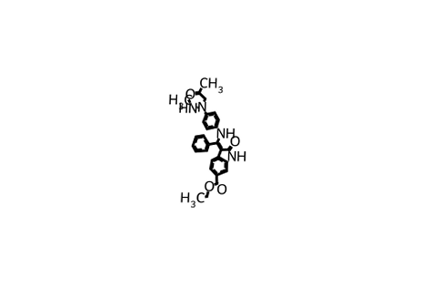 CCOC(=O)c1ccc2c(c1)NC(=O)/C2=C(\Nc1ccc(N(CC(C)=O)NC)cc1)c1ccccc1